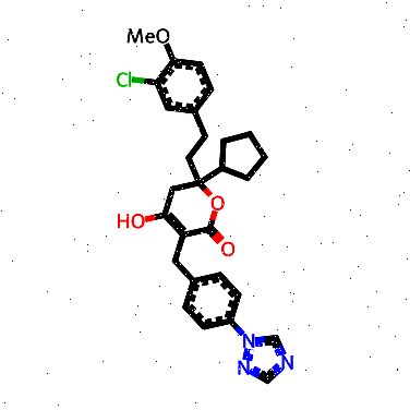 COc1ccc(CCC2(C3CCCC3)CC(O)=C(Cc3ccc(-n4cncn4)cc3)C(=O)O2)cc1Cl